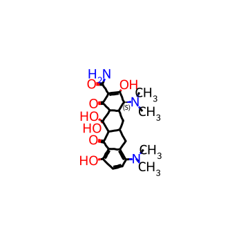 CN(C)c1ccc(O)c2c1CC1CC3C(C(=O)C(C(N)=O)=C(O)[C@H]3N(C)C)C(O)(O)C1C2=O